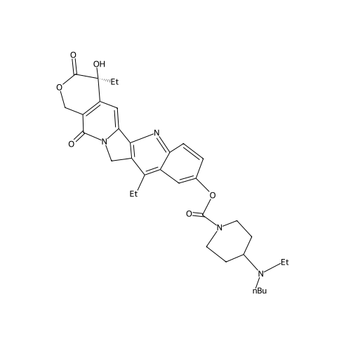 CCCCN(CC)C1CCN(C(=O)Oc2ccc3nc4c(c(CC)c3c2)Cn2c-4cc3c(c2=O)COC(=O)[C@]3(O)CC)CC1